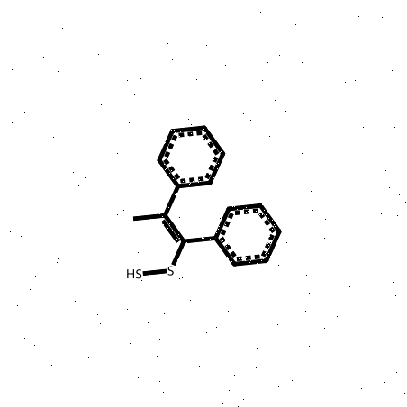 CC(=C(SS)c1ccccc1)c1ccccc1